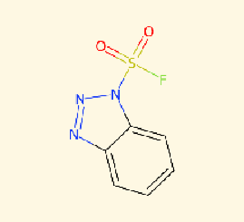 O=S(=O)(F)n1nnc2ccccc21